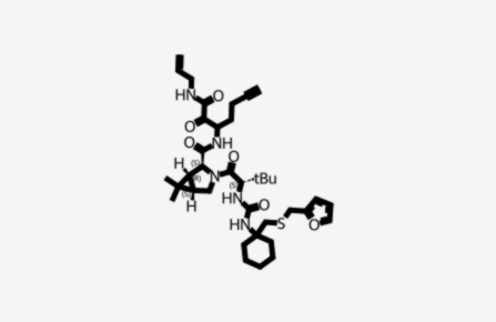 C#CCCC(NC(=O)[C@@H]1[C@@H]2[C@H](CN1C(=O)[C@@H](NC(=O)NC1(CSCc3ccco3)CCCCC1)C(C)(C)C)C2(C)C)C(=O)C(=O)NCC=C